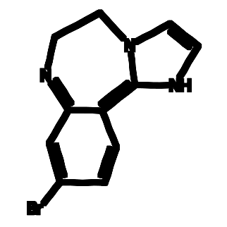 Brc1ccc2c(c1)=NCCN1C=CNC=21